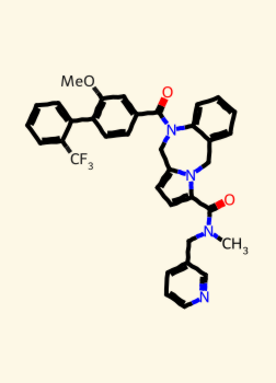 COc1cc(C(=O)N2Cc3ccc(C(=O)N(C)Cc4cccnc4)n3Cc3ccccc32)ccc1-c1ccccc1C(F)(F)F